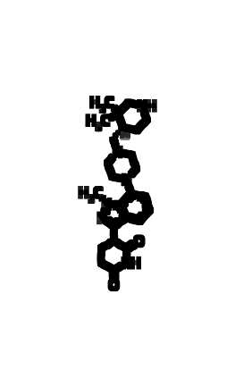 Cn1nc(C2CCC(=O)NC2=O)c2cccc(N3CCN(C[C@H]4CCNCC4(C)C)CC3)c21